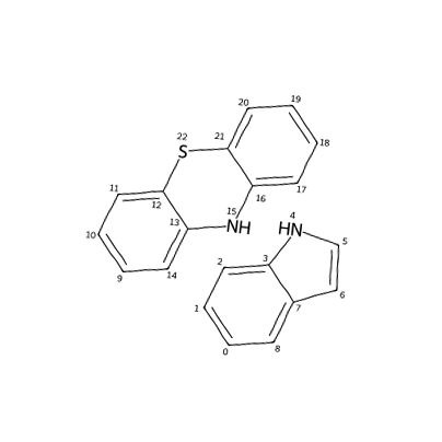 c1ccc2[nH]ccc2c1.c1ccc2c(c1)Nc1ccccc1S2